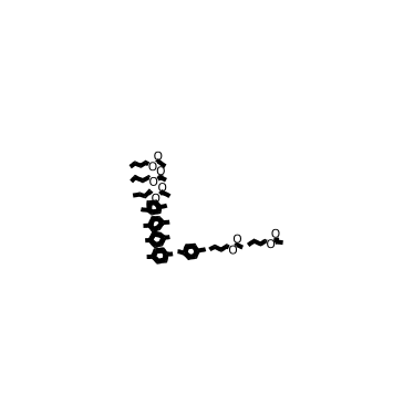 CCCCOC(C)=O.CCCCOC(C)=O.CCCCOC(C)=O.CCCCOC(C)=O.CCCCOC(C)=O.Cc1ccc(C)cc1.Cc1ccc(C)cc1.Cc1ccc(C)cc1.Cc1ccc(C)cc1.Cc1ccc(C)cc1